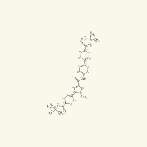 Cc1sc(C(=O)Nc2ccc(C3=CCN(C(=O)OC(C)(C)C)CC3)cc2)cc1C1=CCN(C(=O)OC(C)(C)C)CC1